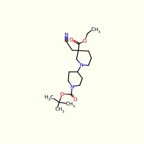 CCOC(=O)C1(CC#N)CCCN(C2CCN(C(=O)OC(C)(C)C)CC2)C1